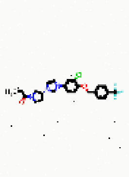 C=CC(=O)N1CC[C@@H](N2C=CN(c3ccc(OCc4ccc(C(F)(F)F)cc4)c(Cl)c3)C2)C1